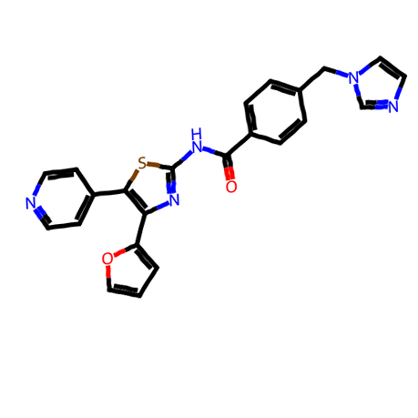 O=C(Nc1nc(-c2ccco2)c(-c2ccncc2)s1)c1ccc(Cn2ccnc2)cc1